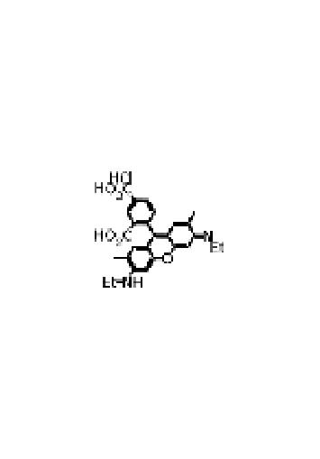 CCN=c1cc2oc3cc(NCC)c(C)cc3c(-c3ccc(C(=O)O)cc3C(=O)O)c-2cc1C.Cl